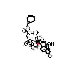 CCCC1O[C@@H]2CC3[C@@H]4CCC5=CC(=O)C=C[C@]5(C)[C@H]4[C@@H](O)C[C@]3(C)[C@]2(C(=O)COP(=O)(O)OP(=O)(O)OCCNC(=O)OCC2C3CC/C=C\CCC32)O1